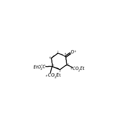 CCOC(=O)C1CC(C(=O)OCC)(C(=O)OCC)CCC1=O